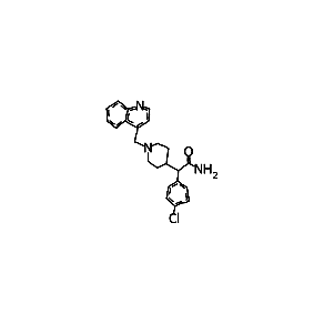 NC(=O)C(c1ccc(Cl)cc1)C1CCN(Cc2ccnc3ccccc23)CC1